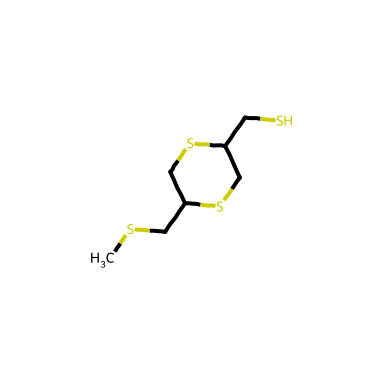 CSCC1CSC(CS)CS1